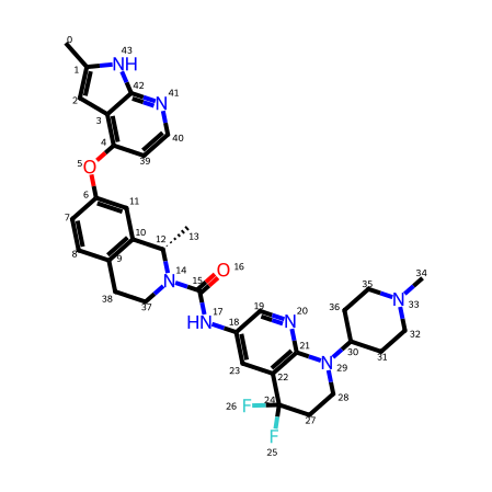 Cc1cc2c(Oc3ccc4c(c3)[C@H](C)N(C(=O)Nc3cnc5c(c3)C(F)(F)CCN5C3CCN(C)CC3)CC4)ccnc2[nH]1